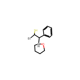 CCC(S)C(c1ccccc1)[SiH]1CCCCO1